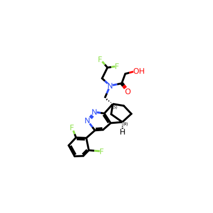 O=C(CO)N(CC(F)F)C[C@]12CC[C@H](C1)c1cc(-c3c(F)cccc3F)nnc12